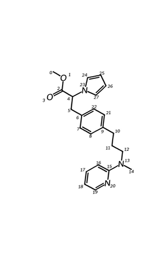 COC(=O)C(Cc1ccc(CCCN(C)c2ccccn2)cc1)n1cccc1